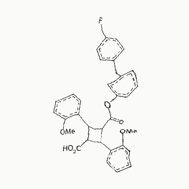 COc1ccccc1C1C(C(=O)O)C(c2ccccc2OC)C1C(=O)Oc1cccc(-c2ccc(F)cc2)c1